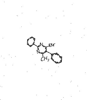 Cc1nc(-c2ccccc2)nc(Br)c1-c1ccccc1